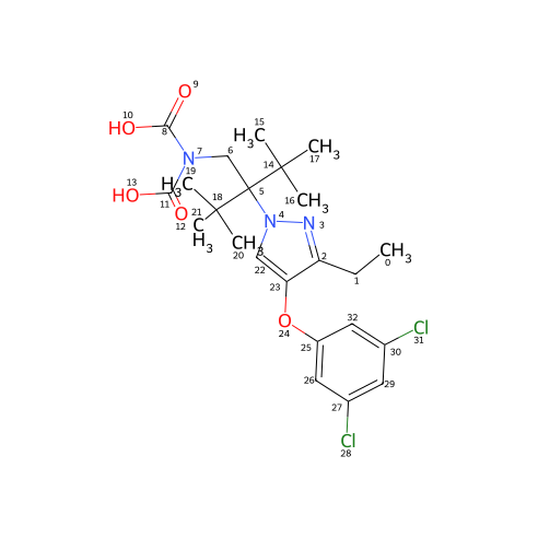 CCc1nn(C(CN(C(=O)O)C(=O)O)(C(C)(C)C)C(C)(C)C)cc1Oc1cc(Cl)cc(Cl)c1